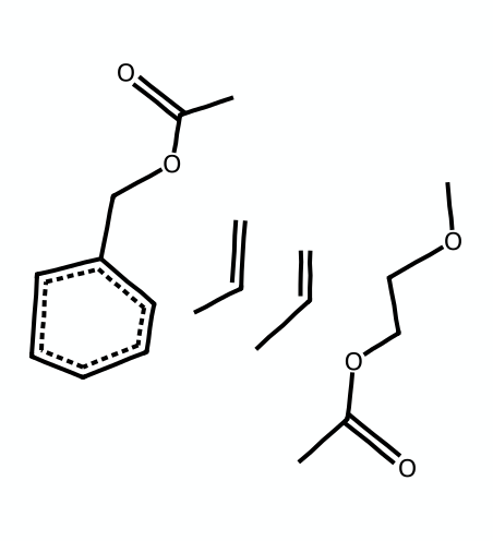 C=CC.C=CC.CC(=O)OCc1ccccc1.COCCOC(C)=O